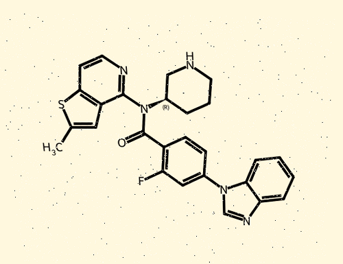 Cc1cc2c(N(C(=O)c3ccc(-n4cnc5ccccc54)cc3F)[C@@H]3CCCNC3)nccc2s1